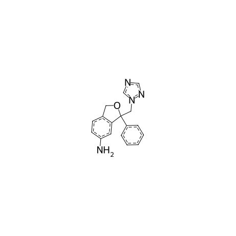 Nc1ccc2c(c1)C(Cn1cncn1)(c1ccccc1)OC2